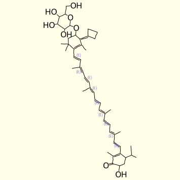 CC1=C(/C=C/C(C)=C/C=C/C(C)=C/C=C/C=C(C)/C=C/C=C(C)/C=C/C2=C(C)C(=C3CCC3)C(OC3OC(CO)C(O)C(O)C3O)CC2(C)C)C(C(C)C)CC(O)C1=O